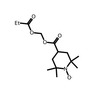 CCC(=O)OCOC(=O)C1CC(C)(C)N([O])C(C)(C)C1